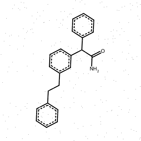 NC(=O)C(c1ccccc1)c1cccc(CCc2ccccc2)c1